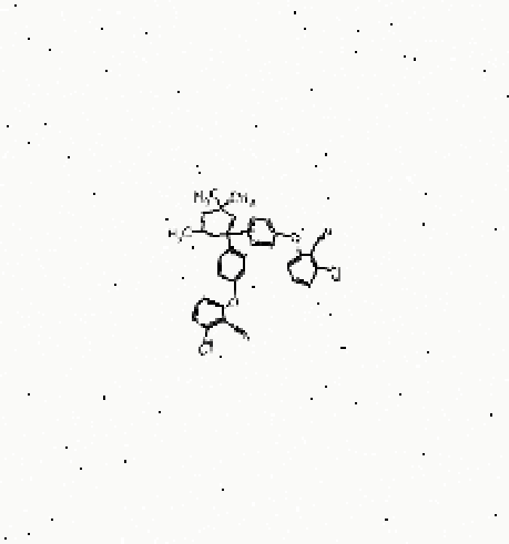 CC1CC(C)(C)CC(c2ccc(Oc3cccc(Cl)c3C#N)cc2)(c2ccc(Oc3cccc(Cl)c3C#N)cc2)C1